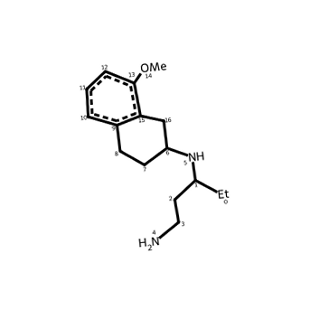 CCC(CCN)NC1CCc2cccc(OC)c2C1